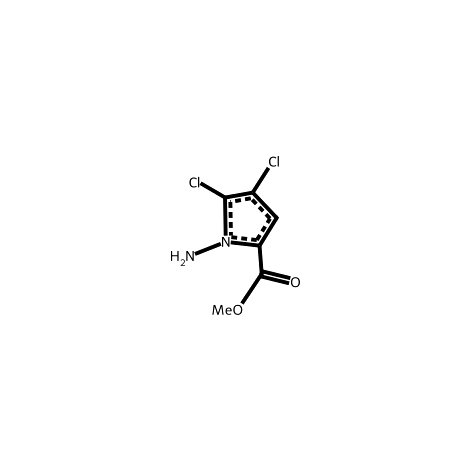 COC(=O)c1cc(Cl)c(Cl)n1N